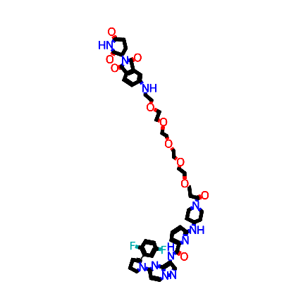 O=C1CCC(N2C(=O)c3ccc(NCCOCCOCCOCCOCCOCCC(=O)N4CCC(Nc5cccc(C(=O)Nc6cnn7ccc(N8CCC[C@@H]8c8cc(F)ccc8F)nc67)n5)CC4)cc3C2=O)C(=O)N1